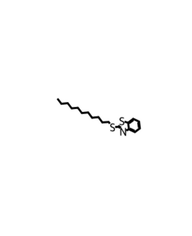 CCCCCCCCCCCSc1nc2ccccc2s1